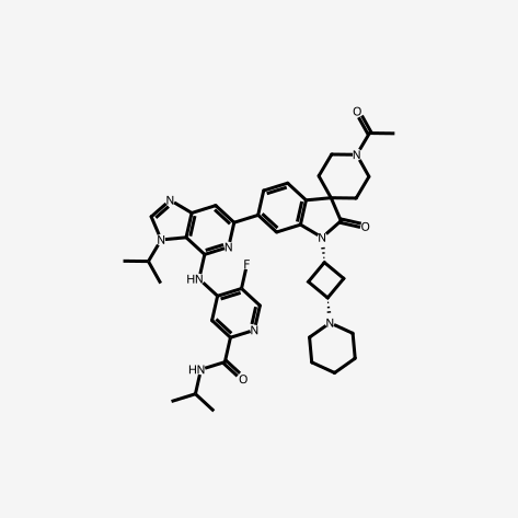 CC(=O)N1CCC2(CC1)C(=O)N([C@H]1C[C@@H](N3CCCCC3)C1)c1cc(-c3cc4ncn(C(C)C)c4c(Nc4cc(C(=O)NC(C)C)ncc4F)n3)ccc12